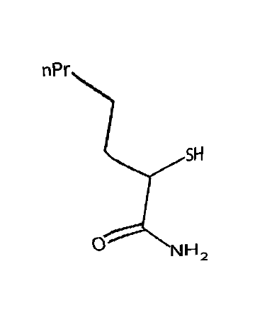 CCCCCC(S)C(N)=O